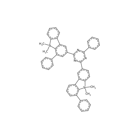 C[Si]1(C)c2ccc(-c3nc(-c4ccccc4)nc(-c4cc(-c5ccccc5)c5c(c4)-c4ccccc4[Si]5(C)C)n3)cc2-c2cccc(-c3ccccc3)c21